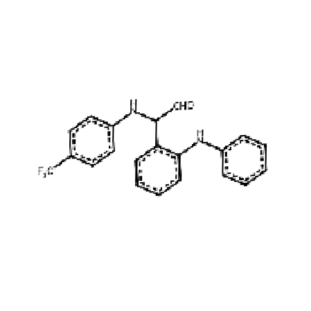 O=CC(Nc1ccc(C(F)(F)F)cc1)c1ccccc1Nc1ccccc1